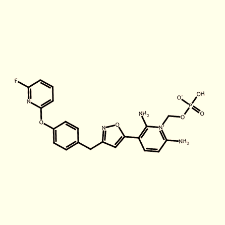 Nc1ccc(-c2cc(Cc3ccc(Oc4cccc(F)n4)cc3)no2)c(N)[n+]1COP(=O)([O-])O